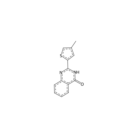 Cc1csc(-c2nc3ccccc3c(=O)[nH]2)c1